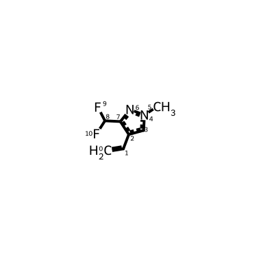 C=Cc1cn(C)nc1C(F)F